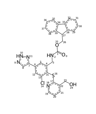 O=C(NCc1cc(-c2cn[nH]n2)cc(Cl)c1Sc1ncccc1CO)OCC1c2ccccc2-c2ccccc21